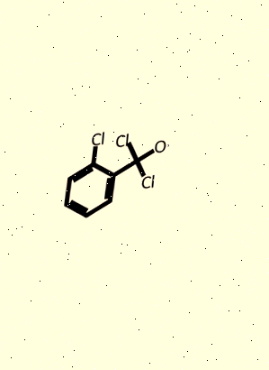 [O]C(Cl)(Cl)c1ccccc1Cl